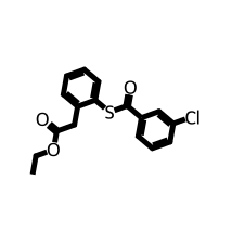 CCOC(=O)Cc1ccccc1SC(=O)c1cccc(Cl)c1